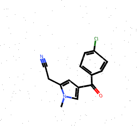 Cn1cc(C(=O)c2ccc(Cl)cc2)cc1CC#N